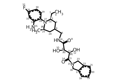 CC[C@H]1CC(CNC(=O)[C@H](O)[C@@H](O)C(=O)N2Cc3ccccc3C2)C[C@@H](C)N1c1ccc(F)cc1N